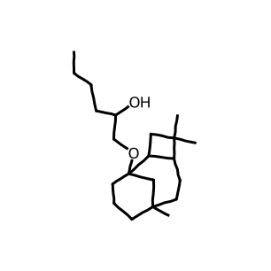 CCCCC(O)COC12CCCC(C)(CCC3C1CC3(C)C)C2